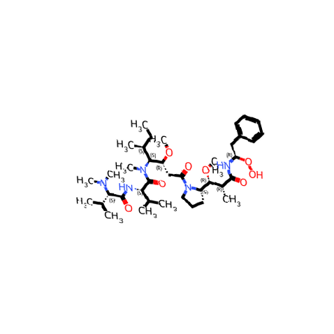 CC[C@H](C)[C@@H]([C@@H](CC(=O)N1CCC[C@H]1[C@H](OC)[C@@H](C)C(=O)N[C@@H](Cc1ccccc1)OO)OC)N(C)C(=O)[C@@H](NC(=O)[C@H](C(C)C)N(C)C)C(C)C